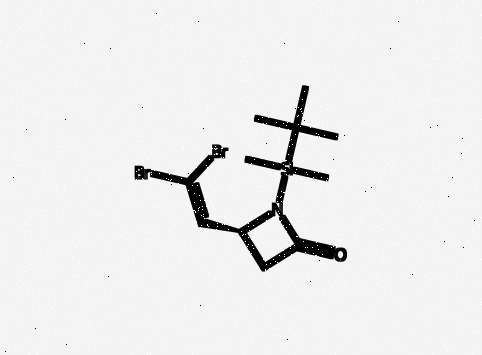 CC(C)(C)[Si](C)(C)N1C(=O)C[C@H]1C=C(Br)Br